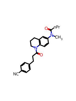 CCCC(=O)N(C)c1ccc2c(c1)CCCN2C(=O)CCc1ccc(C#N)cc1